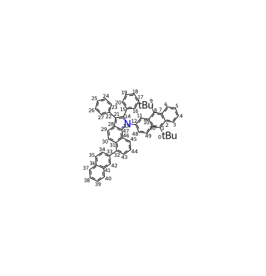 CC(C)(C)c1c2ccccc2c(C(C)(C)C)c2cc(-n3c(-c4ccccc4)c(-c4ccccc4)c4ccc5c(-c6ccc7ccccc7c6)cccc5c43)ccc12